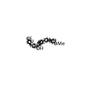 COc1cnc(CN2CCC(c3ccn4nc(C(O)N5CCN(Cc6ccc(C(F)(F)F)cc6)CC5)cc4c3)CC2)cn1